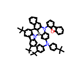 CC(C)(C)c1ccc(N(c2ccc(C(C)(C)C)cc2)c2ccc3c(c2)B2c4c(cc5ccccc5c4-c4cc(C(C)(C)C)cc5c6cc(C(C)(C)C)ccc6n2c45)N3c2cccc3c2oc2ccccc23)cc1